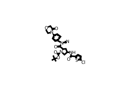 CC(C)(C)OC(=O)N1CC(NC(=O)c2ccc(Cl)s2)CC1C(=O)N(C#N)c1ccc(N2CCOCC2=O)cc1